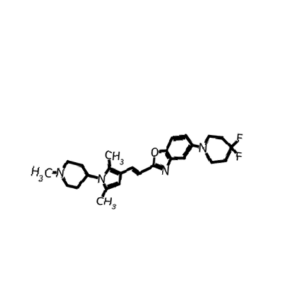 Cc1cc(C=Cc2nc3cc(N4CCC(F)(F)CC4)ccc3o2)c(C)n1C1CCN(C)CC1